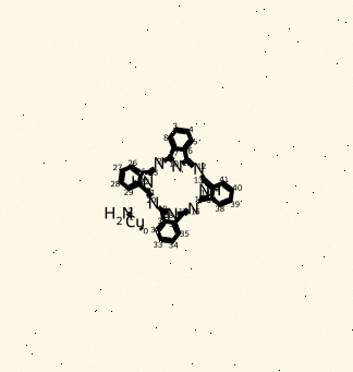 [CH3][Cu][NH2].c1ccc2c(c1)-c1nc-2nc2[nH]c(nc3nc(nc4[nH]c(n1)c1ccccc41)-c1ccccc1-3)c1ccccc21